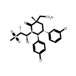 CC[C@@H]([C@@H](C)S(C)(=O)=O)N1C(=O)[C@](C)(CC(=O)O)C[C@H](c2cccc(Cl)c2)[C@H]1c1ccc(Cl)cc1